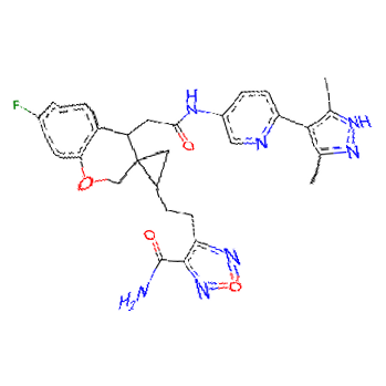 Cc1n[nH]c(C)c1-c1ccc(NC(=O)CC2c3ccc(F)cc3OCC23CC3CCc2nonc2C(N)=O)cn1